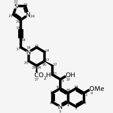 COc1ccc2nccc(C(O)CC[C@@H]3CCN(CC#Cc4cscn4)C[C@@H]3C(=O)O)c2c1